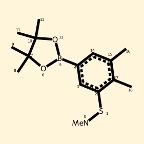 CNSc1cc(B2OC(C)(C)C(C)(C)O2)cc(C)c1C